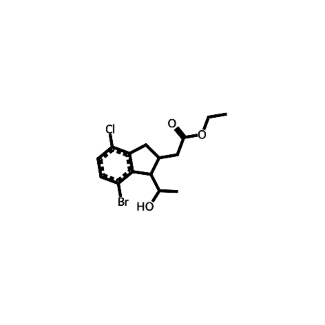 CCOC(=O)CC1Cc2c(Cl)ccc(Br)c2C1C(C)O